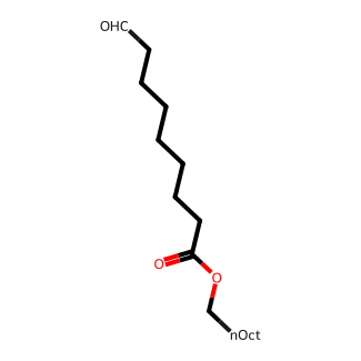 CCCCCCCCCOC(=O)CCCCCCCC=O